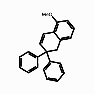 COc1cccc2c1C=CC(c1ccccc1)(c1ccccc1)C2